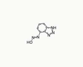 ON=Nc1cccc2[nH]nnc12